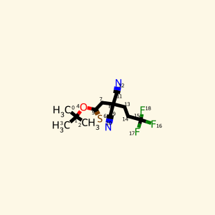 CC(C)(C)OC(=S)CC(C#N)(C#N)CCC(F)(F)F